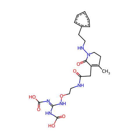 CC1=C(CC(=O)NCCONC(=NC(=O)O)NC(=O)O)C(=O)N(NCCc2ccccc2)CC1